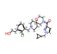 O=C(c1ccn(CC2CC2)n1)N1CCOC2(CCN(Cc3cccc(CCO)c3Cl)CC2)C1